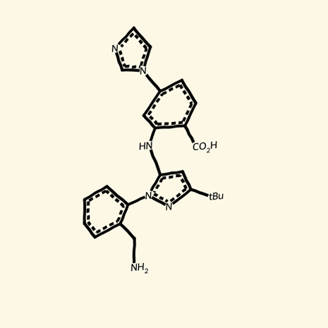 CC(C)(C)c1cc(Nc2cc(-n3ccnc3)ccc2C(=O)O)n(-c2ccccc2CN)n1